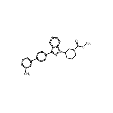 Cc1cccc(-c2ccc(-c3nn([C@@H]4CCCN(C(=O)OC(C)(C)C)C4)c4ccncc34)cc2)c1